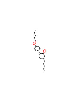 CCCCCOc1ccc([C@@H]2CC[C@@H](CCCCC)CC2=O)cc1